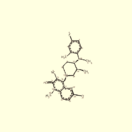 Cc1cc(F)ccc1N(C)[C@@H]1CCN(c2c(C#N)c(=O)n(C)c3ccc(Cl)nc23)C[C@@H]1C